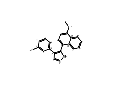 COc1ccc(-c2[nH]ncc2-c2cccc(F)c2)c2ccccc12